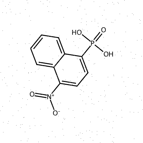 O=[N+]([O-])c1ccc(P(=O)(O)O)c2ccccc12